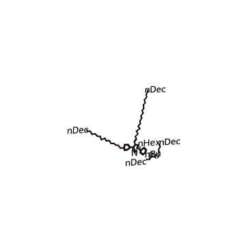 CCCCCCCCCCCCCCCCCCCCCCCCCCCCC=CC1=C(c2ccc(CCCCCCCCCCCCCCCCCCCCCCCCC)cc2)[N+](=[N-])C(c2ccc(CCCC)cc2)=C1CCCCCC.CCCCCCCCCCCCC[CH2][Pd][CH2]CCCCCCCCCCCCC